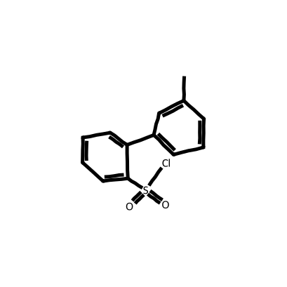 Cc1cccc(-c2ccccc2S(=O)(=O)Cl)c1